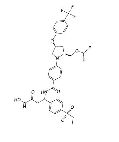 CCS(=O)(=O)c1ccc(C(CC(=O)NO)NC(=O)c2ccc(N3C[C@@H](Oc4ccc(C(F)(F)F)cc4)C[C@H]3COC(F)F)cc2)cc1